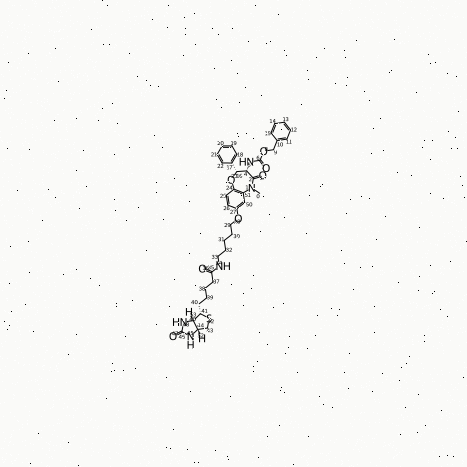 CN1C(=O)[C@@H](NC(=O)OCc2ccccc2)[C@@H](c2ccccc2)Oc2ccc(OCCCCCNC(=O)CCCC[C@@H]3SC[C@@H]4NC(=O)N[C@@H]43)cc21